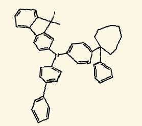 CC1(C)c2ccccc2-c2ccc(N(c3ccc(-c4ccccc4)cc3)c3ccc(C4(c5ccccc5)CCCCCCC4)cc3)cc21